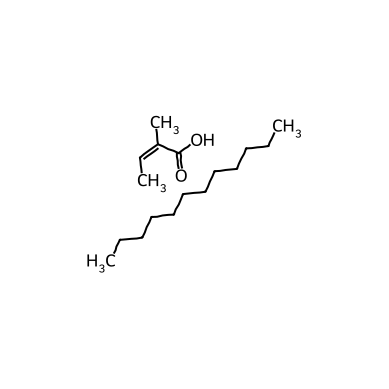 CC=C(C)C(=O)O.CCCCCCCCCCCC